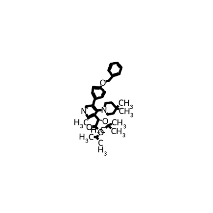 Cc1ncc(-c2ccc(OCc3ccccc3)cc2)c(N2CCC(C)(C)CC2)c1[C@H](OC(C)(C)C)C(=O)OC(C)C